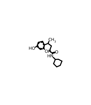 CC(CCC(=O)NC1CCCCC1)c1ccc(O)cc1O